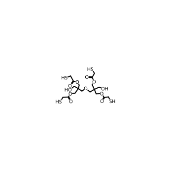 O=C(CS)OCC(CO)(COCC(CO)(COC(=O)CS)COC(=O)CS)COC(=O)CS